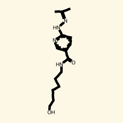 CC(C)=NNc1ccc(C(=O)NCCCCCCO)cn1